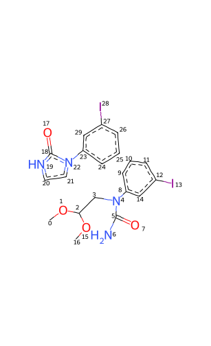 COC(CN(C(N)=O)c1cccc(I)c1)OC.O=c1[nH]ccn1-c1cccc(I)c1